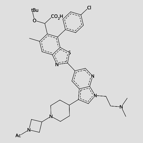 CC(=O)N1CC(N2CCC(c3cn(CCN(C)C)c4ncc(-c5nc6cc(C)c(C(OC(C)(C)C)C(=O)O)c(-c7ccc(Cl)cc7)c6s5)cc34)CC2)C1